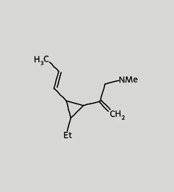 C=C(CNC)C1C(C=CC)C1CC